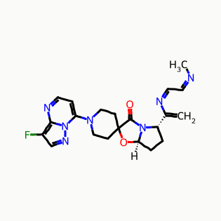 C=C(/N=C\C=N/C)[C@@H]1CC[C@H]2OC3(CCN(c4ccnc5c(F)cnn45)CC3)C(=O)N21